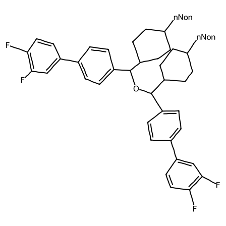 CCCCCCCCCC1CCC(C(OC(c2ccc(-c3ccc(F)c(F)c3)cc2)C2CCC(CCCCCCCCC)CC2)c2ccc(-c3ccc(F)c(F)c3)cc2)CC1